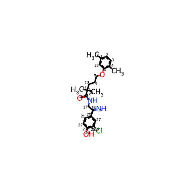 Cc1ccc(C)c(OCCCC(C)(C)C(=O)NCC(=N)c2ccc(O)c(Cl)c2)c1